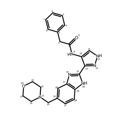 O=C(Cc1ccccc1)Nc1c[nH]nc1-c1nc2cc(CN3CCOCC3)ccc2[nH]1